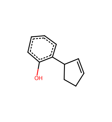 Oc1ccccc1C1C=CCC1